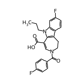 CCCn1c2c(c3ccc(F)cc31)CCN(C(=O)c1ccc(F)cc1)C=C2C(=O)O